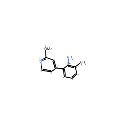 COc1cc(-c2cccc(C)c2N)ccn1